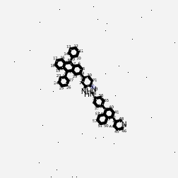 N=C1C=C(c2ccc3c(-c4ccccc4)c4ccccc4c(-c4ccccc4)c3c2)C=C/C1=N/Nc1ccc(-c2ccc(-c3cccnc3)c3ccccc23)cc1